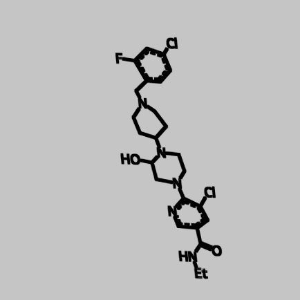 CCNC(=O)c1cnc(N2CCN(C3CCN(Cc4ccc(Cl)cc4F)CC3)C(O)C2)c(Cl)c1